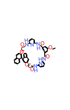 CCOc1cc2cc(c1)C(=O)Nc1cccc(n1)NC(=O)COc1ccc3ccccc3c1-c1c(ccc3ccccc13)OCC(=O)Nc1cccc(n1)NC2=O